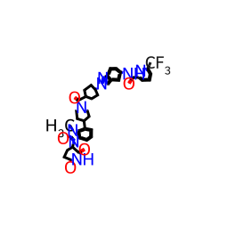 Cn1c(=O)n(C2CCC(=O)NC2=O)c2cccc(C3CCN(C(=O)C4CCC(n5cc6cc(NC(=O)c7cccc(C(F)(F)F)n7)ccc6n5)CC4)CC3)c21